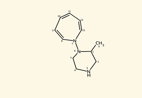 CC1CNCCN1N1C=CC=CC=C1